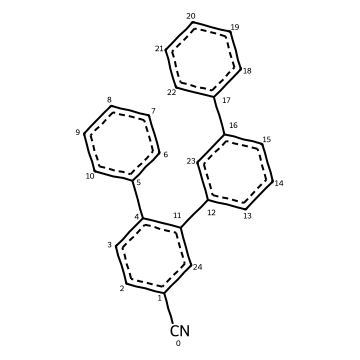 N#Cc1ccc(-c2ccccc2)c(-c2cccc(-c3ccccc3)c2)c1